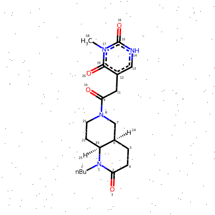 CCCCN1C(=O)CC[C@@H]2CN(C(=O)Cc3c[nH]c(=O)n(C)c3=O)CC[C@@H]21